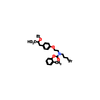 CCOC(Cc1ccc(OCCN(CCCC(C)C)C(=O)Oc2ccccc2C)cc1)C(=O)O